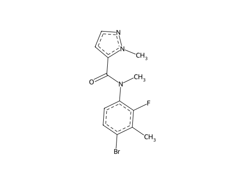 Cc1c(Br)ccc(N(C)C(=O)c2ccnn2C)c1F